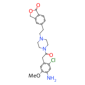 COc1cc(CC(=O)N2CCN(CCc3ccc4c(c3)COC4=O)CC2)c(Cl)cc1N